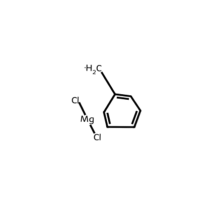 [CH2]c1ccccc1.[Cl][Mg][Cl]